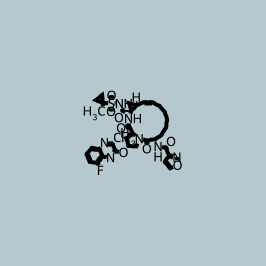 Cc1nc2cccc(F)c2nc1O[C@@H]1C[C@H]2C(=O)N[C@]3(C(=O)NS(=O)(=O)C4(C)CC4)C[C@H]3/C=C\CCCCC[C@H](NC(=O)c3ccon3)C(=O)N2C1